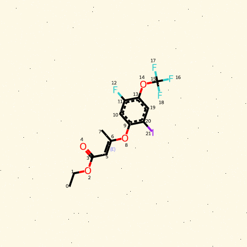 CCOC(=O)/C=C(\C)Oc1cc(F)c(OC(F)(F)F)cc1I